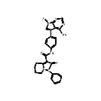 Cn1cc(-c2ccc(NC(=O)c3c4n(n(-c5ccccc5)c3=O)CCCC4)cc2)c2c(N)ncnc21